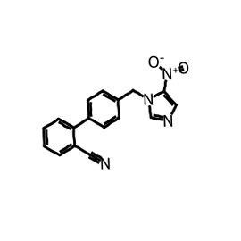 N#Cc1ccccc1-c1ccc(Cn2cncc2[N+](=O)[O-])cc1